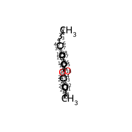 CCCCC[C@H]1CC[C@H](c2ccc(-c3ccc(C(=O)O[C@H]4CC[C@H](c5ccc(CCC)cc5)CC4)cc3)cc2)CC1